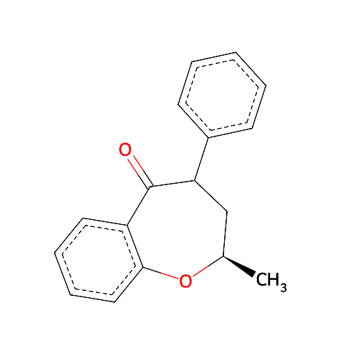 C[C@@H]1CC(c2ccccc2)C(=O)c2ccccc2O1